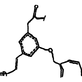 C=C(/C=C\C)COc1cc(/C=C/CCC)cc(CC(=O)I)c1